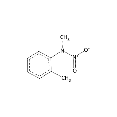 Cc1ccccc1N(C)[N+](=O)[O-]